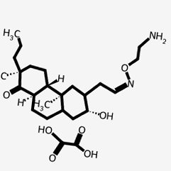 CCC[C@@]1(C)CC[C@H]2[C@@H](CCC3C[C@@H](O)C(C/C=N\OCCN)C[C@@]32C)C1=O.O=C(O)C(=O)O